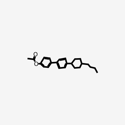 CCCCC1CCC(c2ccc(-c3ccc(OC(C)=O)cc3)cc2)CC1